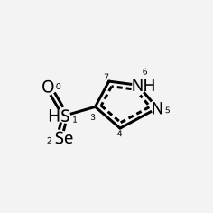 O=[SH](=[Se])c1cn[nH]c1